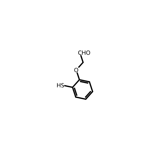 O=CCOc1ccccc1S